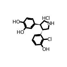 Cl.Oc1ccc([C@H]2CNC[C@@H]2c2cccc(O)c2Cl)cc1O